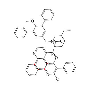 C=CC1C[N+]2(Cc3cc(-c4ccccc4)c(OC)c(-c4ccccc4)c3)CCC1CC2[C@@H](Oc1nc(-c2ccccc2)nc(Cl)c1-c1ccccc1)c1ccnc2ccccc12